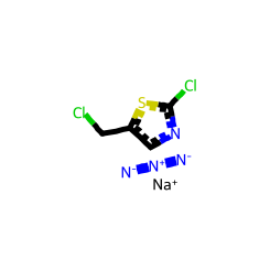 ClCc1cnc(Cl)s1.[N-]=[N+]=[N-].[Na+]